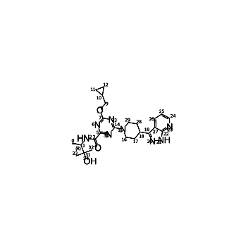 C[C@@H](NC(=O)c1nc(OCC2CC2)nc(N2CCC(c3n[nH]c4ncccc34)CC2)n1)C(C)(C)O